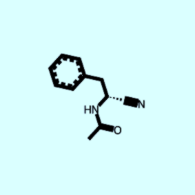 CC(=O)N[C@@H](C#N)Cc1ccccc1